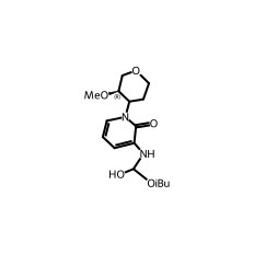 CO[C@H]1COCCC1n1cccc(NC(O)OCC(C)C)c1=O